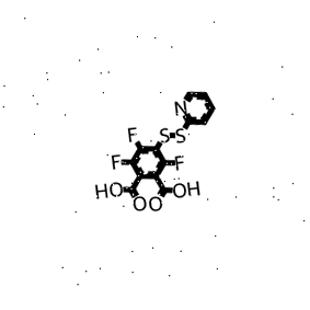 O=C(O)c1c(F)c(F)c(SSc2ccccn2)c(F)c1C(=O)O